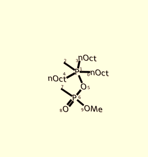 CCCCCCCCP(C)(CCCCCCCC)(CCCCCCCC)OP(C)(=O)OC